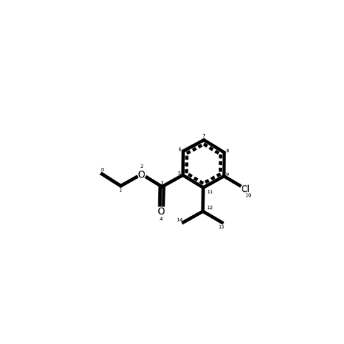 CCOC(=O)c1cccc(Cl)c1C(C)C